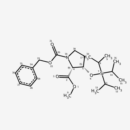 COC(=O)[C@H]1[C@@H](O[Si](C(C)C)(C(C)C)C(C)C)CCN1C(=O)OCc1ccccc1